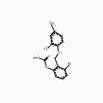 CCc1cccc(OC(=O)OC)c1COc1ccc(C)cc1C(F)(F)F